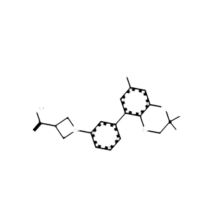 COC(=O)C1CN(c2cccc(-c3cc(C)cc4c3NCC(C)(C)O4)c2)C1